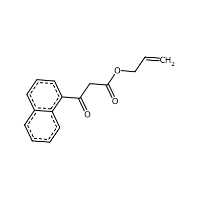 C=CCOC(=O)CC(=O)c1cccc2ccccc12